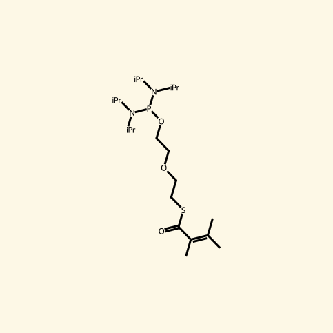 CC(C)=C(C)C(=O)SCCOCCOP(N(C(C)C)C(C)C)N(C(C)C)C(C)C